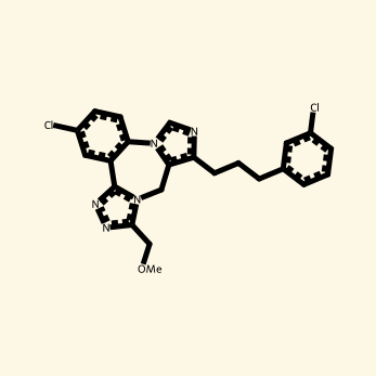 COCc1nnc2n1Cc1c(CCCc3cccc(Cl)c3)ncn1-c1ccc(Cl)cc1-2